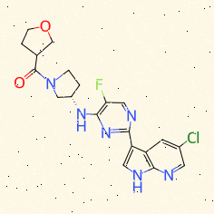 O=C(C1CCOC1)N1CC[C@H](Nc2nc(-c3c[nH]c4ncc(Cl)cc34)ncc2F)C1